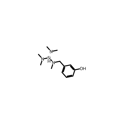 CN(C)[SiH](N(C)C)N(C)Cc1cccc(O)c1